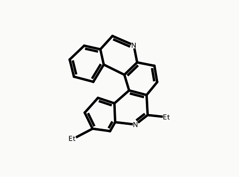 CCc1ccc2c(c1)nc(CC)c1ccc3ncc4ccccc4c3c12